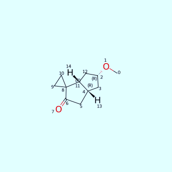 CO[C@@H]1C[C@@H]2CC(=O)C3(CC3)[C@@H]2C1